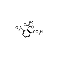 CC(=O)S(=O)(=O)c1c(C(=O)O)cccc1[N+](=O)[O-]